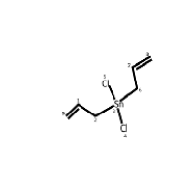 C=C[CH2][Sn]([Cl])([Cl])[CH2]C=C